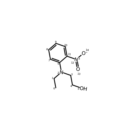 CCN(CCO)c1ccccc1[N+](=O)[O-]